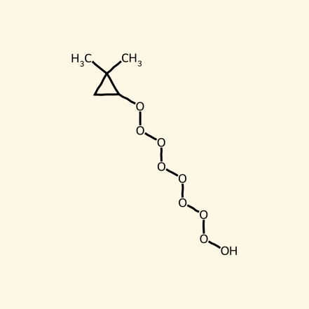 CC1(C)CC1OOOOOOOOO